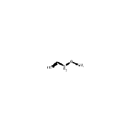 [CH]=C[SiH2]O[SiH3]